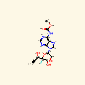 C#C[C@H](O)[C@@](F)(CO)O[C@H](CO)n1cnc2c(NC(=O)OC(C)(C)C)ncnc21